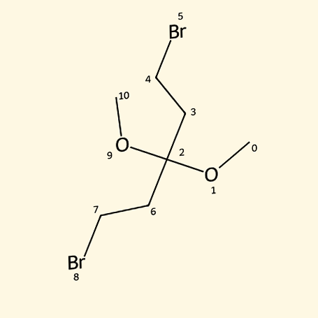 COC(CCBr)(CCBr)OC